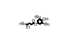 CCCCC(CC)CCC(=O)Oc1cc(C(C)(C)C)c(O)c(C(C)(C)C)c1